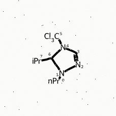 CCCN1N=CN(C(Cl)(Cl)Cl)C1C(C)C